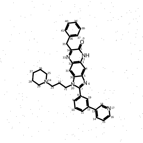 O=c1[nH]c2cc3nc(-c4cccc(-c5cccnc5)c4)n(CCCN4CCCCC4)c3cc2nc1Cc1ccccc1